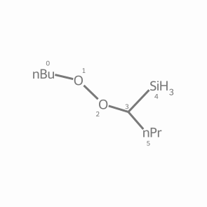 CCCCOOC([SiH3])CCC